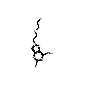 COc1nc(Cl)nc2cn(CCOCCBr)nc12